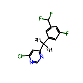 [2H]C([2H])(c1cc(F)cc(C(F)F)c1)c1cc(Cl)ncn1